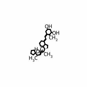 C=C1/C(=C\C=C2/CCCC3(C)C2CC[C@@H]3[C@H](C)/C=C/[C@@H](C)C2(O)CCCC2)C[C@@H](O)CC1O